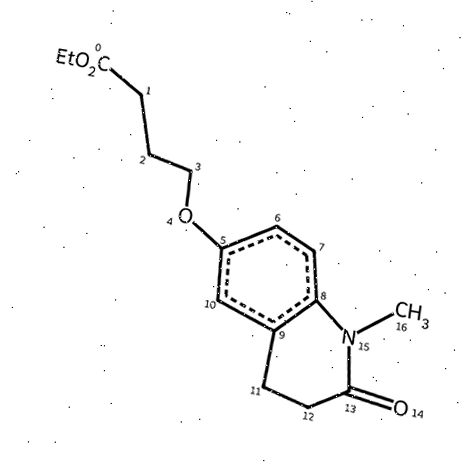 CCOC(=O)CCCOc1ccc2c(c1)CCC(=O)N2C